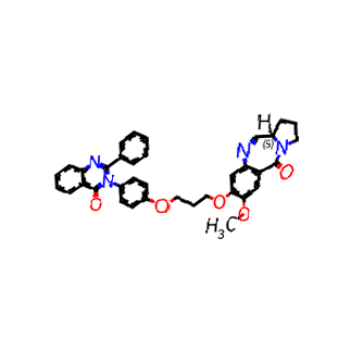 COc1cc2c(cc1OCCCOc1ccc(-n3c(-c4ccccc4)nc4ccccc4c3=O)cc1)N=C[C@@H]1CCCN1C2=O